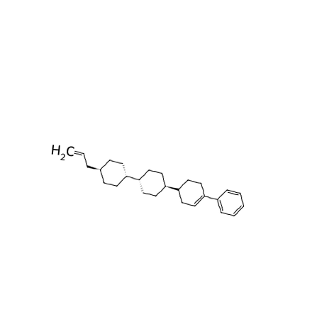 C=CC[C@H]1CC[C@H]([C@H]2CC[C@H](C3CC=C(c4ccccc4)CC3)CC2)CC1